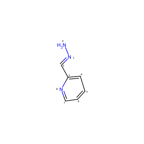 NN=Cc1ccccn1